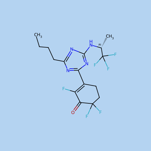 CCCCc1nc(N[C@H](C)C(F)(F)F)nc(C2=C(F)C(=O)C(F)(F)CC2)n1